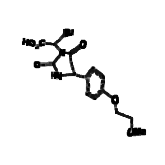 CCC(C)C(C(=O)O)N1C(=O)NC(c2ccc(OCCOC)cc2)C1=O